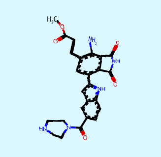 COC(=O)C=Cc1cc(-c2cc3cc(C(=O)N4CCNCC4)ccc3[nH]2)c2c(c1N)C(=O)NC2=O